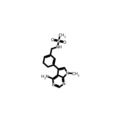 Cn1cc(C2=CC(CNS(C)(=O)=O)=CCC2)c2c(N)ncnc21